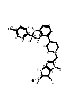 Cn1c(CN2CCC(c3cccc4c3O[C@](C)(c3ccc(Cl)cn3)O4)CC2)nc2sc(C(=O)O)c(F)c21